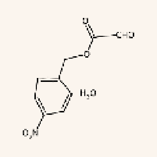 O.O=CC(=O)OCc1ccc([N+](=O)[O-])cc1